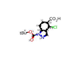 CC(C)(C)OC(=O)n1ncc2c(Cl)c(C(=O)O)ccc21